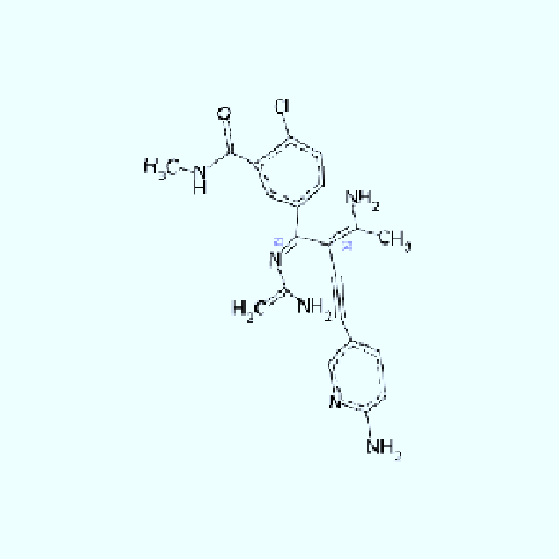 C=C(N)/N=C(\C(C#Cc1ccc(N)nc1)=C(\C)N)c1ccc(Cl)c(C(=O)NC)c1